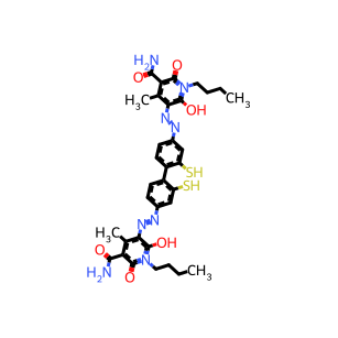 CCCCn1c(O)c(N=Nc2ccc(-c3ccc(N=Nc4c(C)c(C(N)=O)c(=O)n(CCCC)c4O)cc3S)c(S)c2)c(C)c(C(N)=O)c1=O